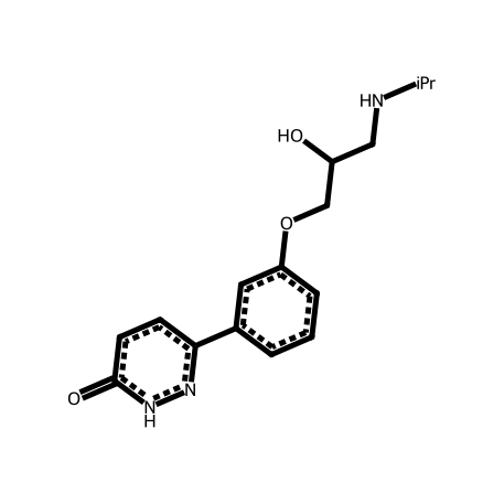 CC(C)NCC(O)COc1cccc(-c2ccc(=O)[nH]n2)c1